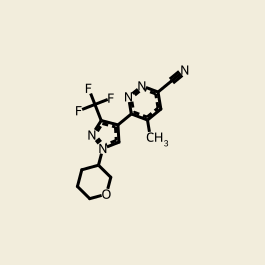 Cc1cc(C#N)nnc1-c1cn(C2CCCOC2)nc1C(F)(F)F